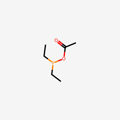 CCP(CC)OC(C)=O